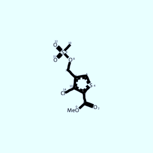 COC(=O)c1scc(COS(C)(=O)=O)c1Cl